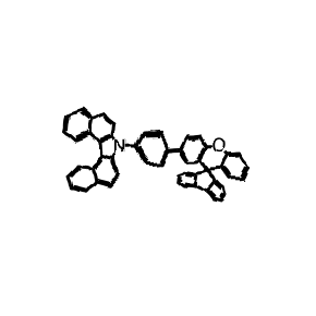 c1ccc2c(c1)Oc1ccc(-c3ccc(-n4c5ccc6ccccc6c5c5c6ccccc6ccc54)cc3)cc1C21c2ccccc2-c2ccccc21